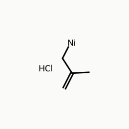 C=C(C)[CH2][Ni].Cl